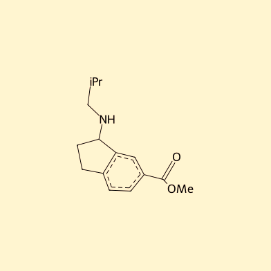 COC(=O)c1ccc2c(c1)C(NCC(C)C)CC2